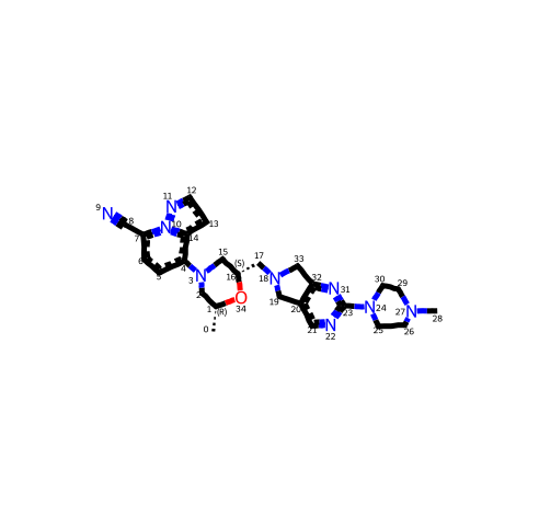 C[C@@H]1CN(c2ccc(C#N)n3nccc23)C[C@H](CN2Cc3cnc(N4CCN(C)CC4)nc3C2)O1